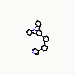 c1cc(-c2ccncc2)cc(-c2cccc(-c3cc4c5ccccc5n5c6ccccc6c(c3)c45)c2)c1